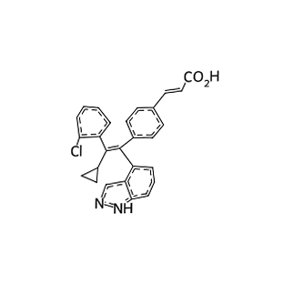 O=C(O)C=Cc1ccc(C(=C(c2ccccc2Cl)C2CC2)c2cccc3[nH]ncc23)cc1